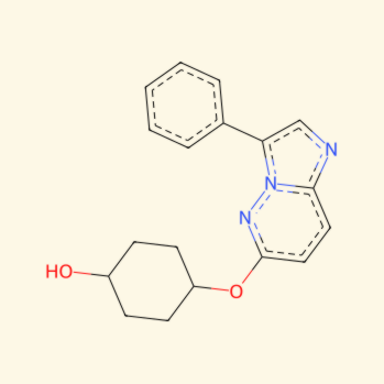 OC1CCC(Oc2ccc3ncc(-c4ccccc4)n3n2)CC1